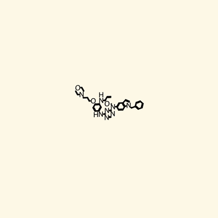 C=CC(=O)Nc1cc(Nc2ncnc(N(C)c3ccc4c(ccn4Cc4ccccc4)c3)n2)ccc1OCCCN1CCOCC1